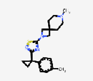 Cc1ccc(C2(c3nsc(N4CC5(CCN(C)CC5)C4)n3)CC2)cc1